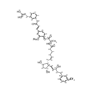 COc1cc(/C=C/C(=O)Oc2cccc(CON(O)O)c2)ccc1OC(=O)C(C)NC(=O)CCC/C=C\C[C@@H]1[C@@H](/C=C/[C@@H](O)CCc2cccc(C(F)(F)F)c2)[C@H](O)C[C@@H]1O